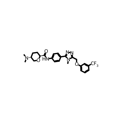 CN(C)[C@@H]1CC[C@@H](C(=O)Nc2ccc(-c3nnc(COc4cccc(C(F)(F)F)c4)n3C)cc2)OC1